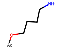 CC(=O)OCCCC[NH]